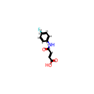 O=C(O)/C=C/C(=O)Nc1ccc(F)cc1